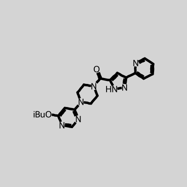 CC(C)COc1cc(N2CCN(C(=O)c3cc(-c4ccccn4)n[nH]3)CC2)ncn1